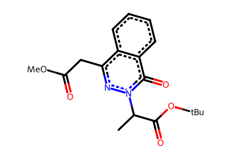 COC(=O)Cc1nn(C(C)C(=O)OC(C)(C)C)c(=O)c2ccccc12